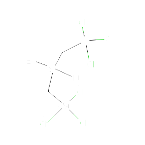 CC[Si](CC)(C[Si](Cl)(Cl)Cl)C[Si](Cl)(Cl)Cl